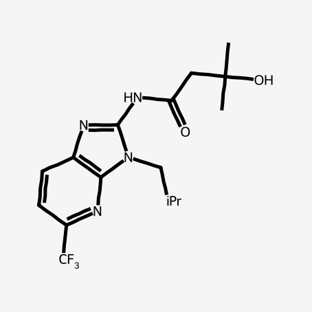 CC(C)Cn1c(NC(=O)CC(C)(C)O)nc2ccc(C(F)(F)F)nc21